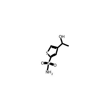 CC(O)c1csc(S(N)(=O)=O)c1